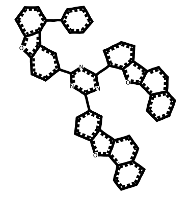 c1ccc(-c2cccc3oc4ccc(-c5nc(-c6ccc7oc8c9ccccc9ccc8c7c6)nc(-c6cccc7c6oc6c8ccccc8ccc76)n5)cc4c23)cc1